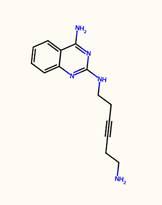 NCCC#CCCNc1nc(N)c2ccccc2n1